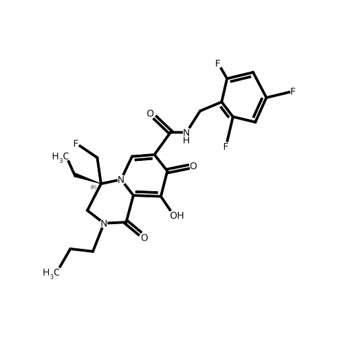 CCCN1C[C@](CC)(CF)n2cc(C(=O)NCc3c(F)cc(F)cc3F)c(=O)c(O)c2C1=O